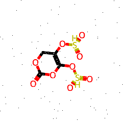 O=C1OCC(O[SH](=O)=O)=C(O[SH](=O)=O)O1